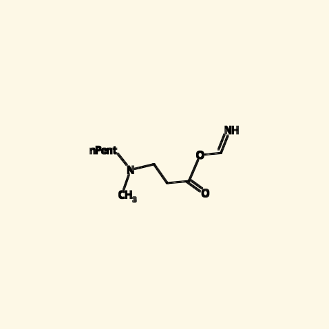 CCCCCN(C)CCC(=O)OC=N